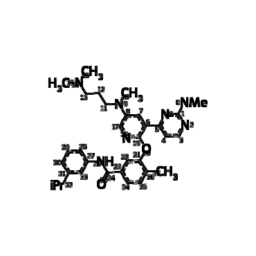 CNc1nccc(-c2cc(N(C)CCCN(C)C)cnc2Oc2cc(C(=O)Nc3cccc(C(C)C)c3)ccc2C)n1